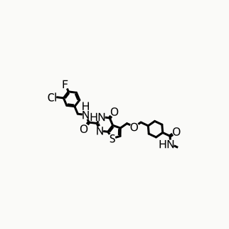 CNC(=O)C1CCC(COCc2csc3nc(C(=O)NCc4ccc(F)c(Cl)c4)[nH]c(=O)c23)CC1